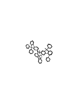 CC1(c2ccccc2)c2cc(N(c3ccc4c(c3)C(c3ccccc3)(c3ccccc3)c3ccccc3-4)c3cccc4c3oc3ccccc34)ccc2-c2c(-c3ccccc3)cccc21